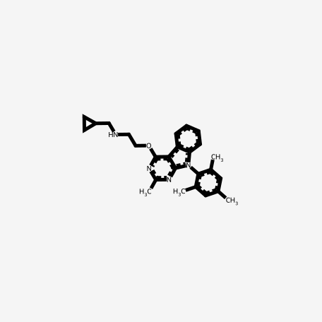 Cc1cc(C)c(-n2c3ccccc3c3c(OCCNCC4CC4)nc(C)nc32)c(C)c1